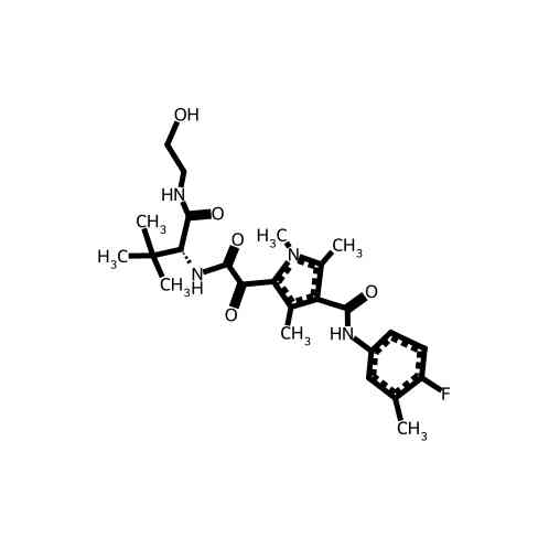 Cc1cc(NC(=O)c2c(C)c(C(=O)C(=O)N[C@@H](C(=O)NCCO)C(C)(C)C)n(C)c2C)ccc1F